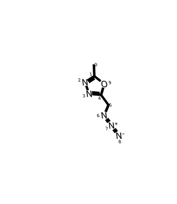 Cc1nnc(CN=[N+]=[N-])o1